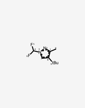 Cc1nn(C(F)F)cc1C(C)(C)C